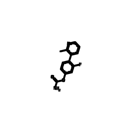 Cc1ncccc1-c1ccc(OC(N)=O)cc1F